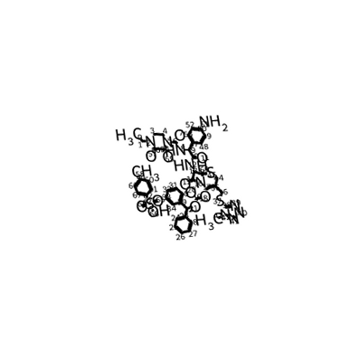 CCN1CCN(C(=O)N[C@H](C(=O)N[C@@H]2C(=O)N3C(OC(=O)OC(c4ccccc4)c4ccccc4)=C(CSc4nnnn4C)CS[C@@H]23)c2ccc(N)cc2)C(=O)C1=O.Cc1ccc(S(=O)(=O)O)cc1